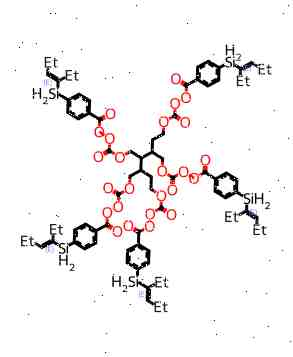 CC/C=C(\CC)[SiH2]c1ccc(C(=O)OOC(=O)OCCC(COC(=O)OOC(=O)c2ccc([SiH2]/C(=C/CC)CC)cc2)C(COC(=O)OOC(=O)c2ccc([SiH2]/C(=C/CC)CC)cc2)C(CCOC(=O)OOC(=O)c2ccc([SiH2]/C(=C/CC)CC)cc2)COC(=O)OOC(=O)c2ccc([SiH2]/C(=C/CC)CC)cc2)cc1